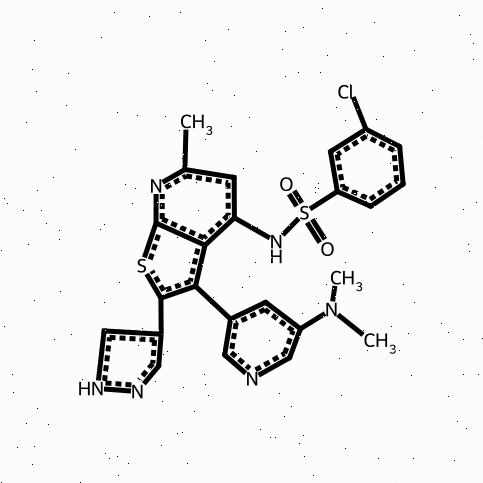 Cc1cc(NS(=O)(=O)c2cccc(Cl)c2)c2c(-c3cncc(N(C)C)c3)c(-c3cn[nH]c3)sc2n1